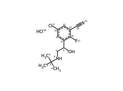 CC(C)(C)NCC(O)c1cc(Cl)cc(C#N)c1F.Cl